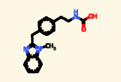 Cn1c(Cc2ccc(CCNC(=O)O)cc2)nc2ccccc21